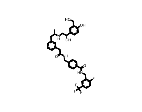 C[C@H](Cc1cccc(CC(=O)NCc2ccc(C(=O)NCc3cc(C(F)(F)F)ccc3F)cc2)c1)NC[C@H](O)c1ccc(O)c(CO)c1